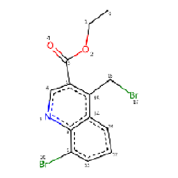 CCOC(=O)c1cnc2c(Br)cccc2c1CBr